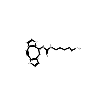 O=C(O)CCCCCNC(=O)OC1Cc2ccsc2C#Cc2ccsc21